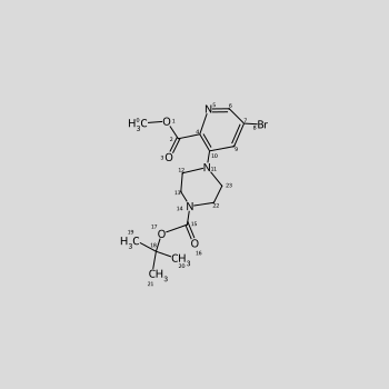 COC(=O)c1ncc(Br)cc1N1CCN(C(=O)OC(C)(C)C)CC1